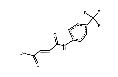 NC(=O)/C=C/C(=O)Nc1ccc(C(F)(F)F)cc1